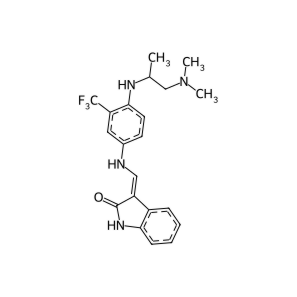 CC(CN(C)C)Nc1ccc(NC=C2C(=O)Nc3ccccc32)cc1C(F)(F)F